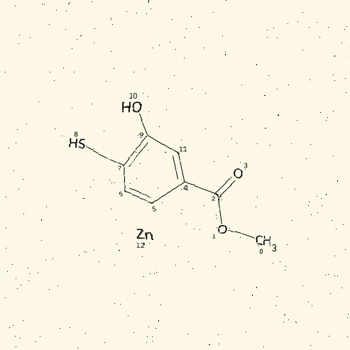 COC(=O)c1ccc(S)c(O)c1.[Zn]